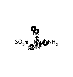 CS(=O)(=O)O.Nc1ccc(-c2cnc(N3CCOCC3)c3nc(COc4ccc5ccccc5n4)cn23)cn1